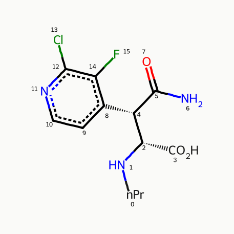 CCCN[C@@H](C(=O)O)[C@@H](C(N)=O)c1ccnc(Cl)c1F